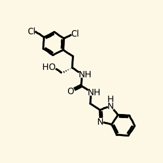 O=C(NCc1nc2ccccc2[nH]1)N[C@H](CO)Cc1ccc(Cl)cc1Cl